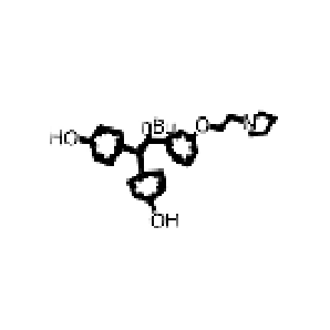 CCCCC(=C(c1ccc(O)cc1)c1ccc(O)cc1)c1cccc(OCCN2CCCC2)c1